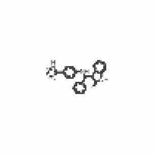 O=C1Nc2ccccc2C1=C(Nc1ccc(-c2nnn[nH]2)cc1)c1ccccc1